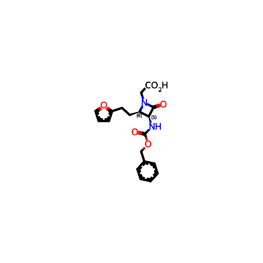 O=C(O)CN1C(=O)[C@@H](NC(=O)OCc2ccccc2)[C@H]1CCc1ccco1